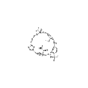 CNC(=O)c1nc2ccc1Nc1nc(ncc1C(F)(F)F)Nc1ccc(cc1OC)CP(=O)(C(C)C)OCCCn1cc-2cn1